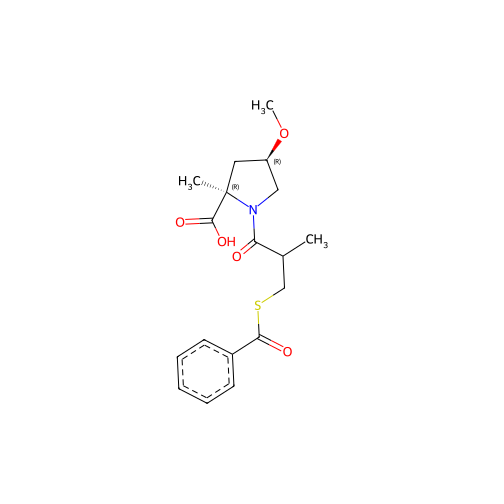 CO[C@H]1CN(C(=O)C(C)CSC(=O)c2ccccc2)[C@@](C)(C(=O)O)C1